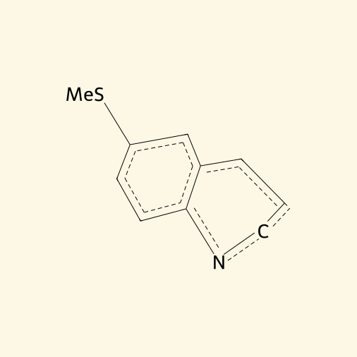 CSc1ccc2ncccc2c1